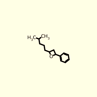 CC(C)CCCC1CC(c2ccccc2)O1